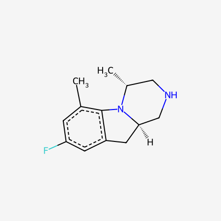 Cc1cc(F)cc2c1N1[C@@H](CNC[C@H]1C)C2